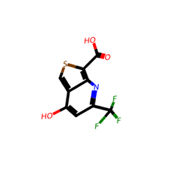 O=C(O)c1scc2c(O)cc(C(F)(F)F)nc12